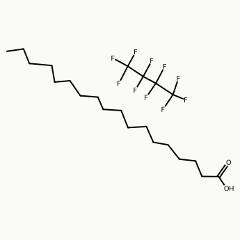 CCCCCCCCCCCCCCCCCC(=O)O.FC(F)(F)C(F)(F)C(F)(F)C(F)(F)F